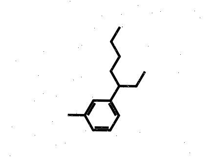 [CH2]CCCC(CC)c1cccc(C)c1